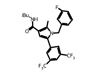 CC[C@@H](C)NC(=O)c1cc(-c2cc(C(F)(F)F)cc(C(F)(F)F)c2)n(Cc2cccc(F)c2)c1C